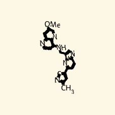 COc1cnc2c(NCc3cnc4ccc(-c5cc(C)ns5)nn34)ccnc2c1